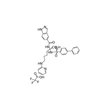 O=C(N[C@@](CCCCNc1ccccn1)(NS(=O)(=O)c1ccc(-c2ccccc2)cc1)C(=O)O)c1ccc2[nH]ncc2c1.O=C(O)C(F)(F)F